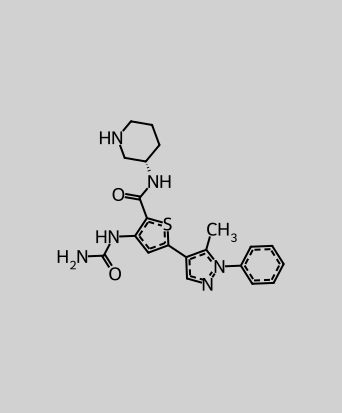 Cc1c(-c2cc(NC(N)=O)c(C(=O)N[C@H]3CCCNC3)s2)cnn1-c1ccccc1